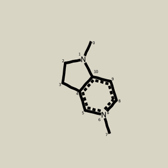 CN1CCc2c[n+](C)ccc21